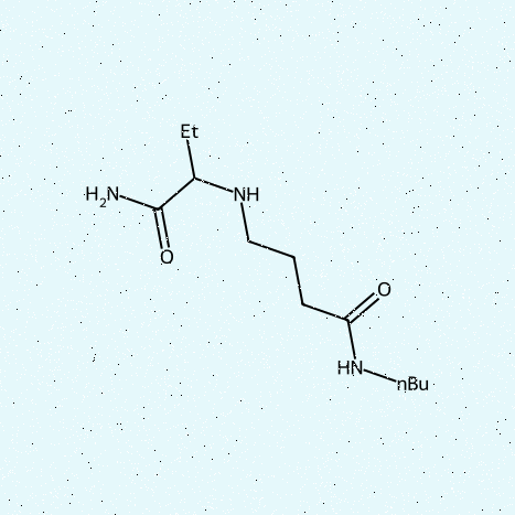 CCCCNC(=O)CCCNC(CC)C(N)=O